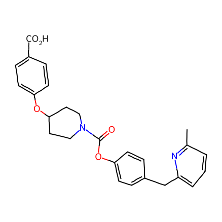 Cc1cccc(Cc2ccc(OC(=O)N3CCC(Oc4ccc(C(=O)O)cc4)CC3)cc2)n1